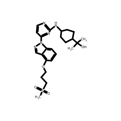 CC(C)(O)C1CCC(Nc2nccc(-n3ncc4c(OCCCS(C)(=O)=O)cccc43)n2)CC1